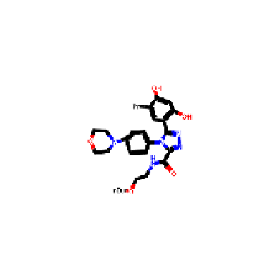 CCCCOCCNC(=O)c1nnc(-c2cc(C(C)C)c(O)cc2O)n1-c1ccc(N2CCOCC2)cc1